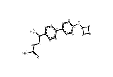 COC(=O)NCC(C)c1ccc(-c2cnc(OC3CCC3)nc2)cc1